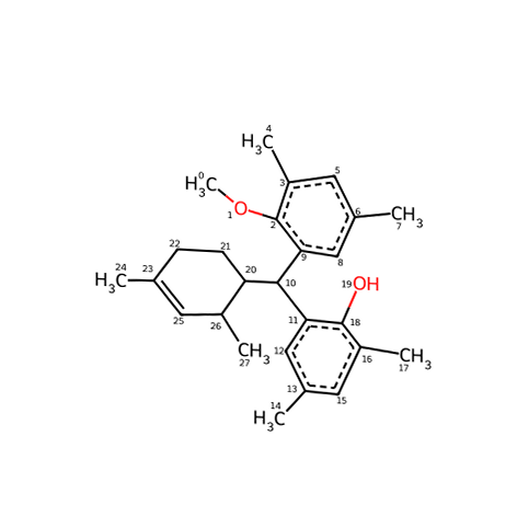 COc1c(C)cc(C)cc1C(c1cc(C)cc(C)c1O)C1CCC(C)=CC1C